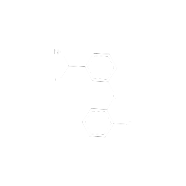 N#CC(Cl)c1cccc(Oc2ccccc2F)c1